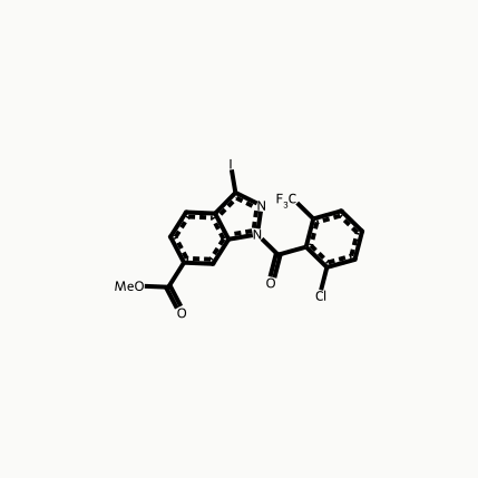 COC(=O)c1ccc2c(I)nn(C(=O)c3c(Cl)cccc3C(F)(F)F)c2c1